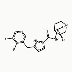 O=C(N[C@H]1CN2CCC1CC2)c1ccc(Cc2cccc(F)c2F)[nH]1